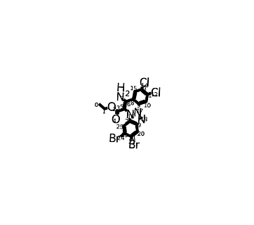 CCOC(=O)/C(=C(\N)c1ccc(Cl)c(Cl)c1)n1nnc2cc(Br)c(Br)cc21